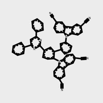 N#Cc1ccc2c(c1)c1cc(C#N)ccc1n2-c1cccc(-c2cc(-c3nc(-c4ccccc4)cc(-c4ccccc4)n3)ccc2-n2c3ccc(C#N)cc3c3cc(C#N)ccc32)c1